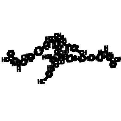 C#Cc1ccc(CNC(=O)[C@@H]2C[C@@H](OC(C)(C)[C@H](NC(=O)[C@H]3CCC4(CC3)C[C@H](N3CCC(N5CCC(N6CCN7c8cc(-c9ccccc9O)nnc8NC[C@H]7C6)CC5)CC3)C4)C(=O)N3C[C@H](O)C[C@H]3C(=O)NCc3ccc(C#C)cc3)CN2C(=O)[C@@H](NC(=O)N2CCC(N3CCCN(c4cnc(N5CCc6[nH]c7nnc(-c8ccccc8O)cc7c6C5C)nc4)CCC3)CC2)C(C)(C)C)cc1